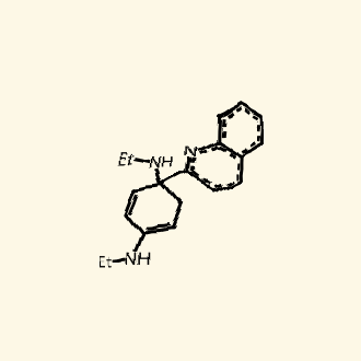 CCNC1=CCC(NCC)(c2ccc3ccccc3n2)C=C1